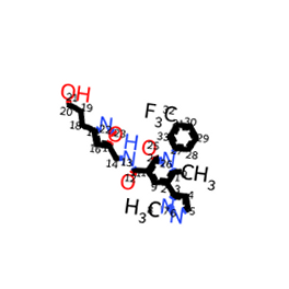 Cc1c(-c2ccnn2C)cc(C(=O)NCc2cc(CCCO)no2)c(=O)n1-c1cccc(C(F)(F)F)c1